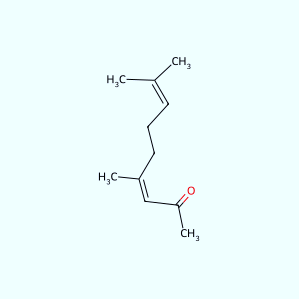 CC(=O)/C=C(/C)CCC=C(C)C